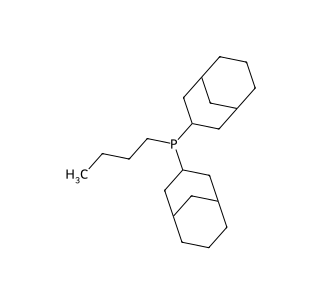 CCCCP(C1CC2CCCC(C2)C1)C1CC2CCCC(C2)C1